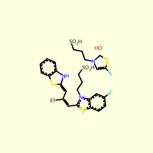 CCC(=Cc1sc2ccc(F)cc2[n+]1CCCS(=O)(=O)O)C=C1Nc2ccccc2S1.O=S(=O)(O)CCCN1C=C(F)SC1.[OH-]